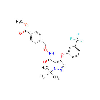 COC(=O)c1ccc(CONC(=O)c2c(Oc3cccc(C(F)(F)F)c3)cnn2C(C)(C)C)cc1